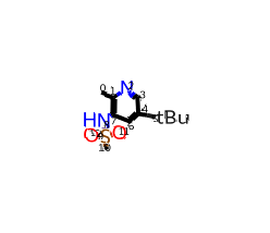 Cc1ncc(C(C)(C)C)cc1NS(C)(=O)=O